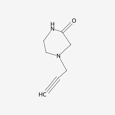 C#CCN1CCNC(=O)C1